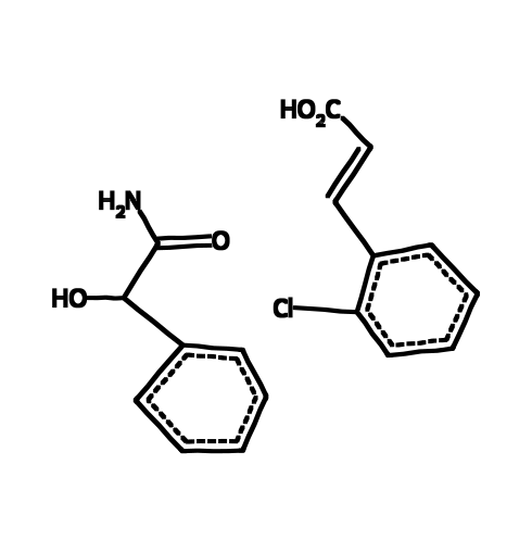 NC(=O)C(O)c1ccccc1.O=C(O)/C=C/c1ccccc1Cl